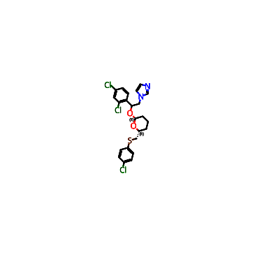 Clc1ccc(SC[C@H]2CCC[C@H](OC(Cn3ccnc3)c3ccc(Cl)cc3Cl)O2)cc1